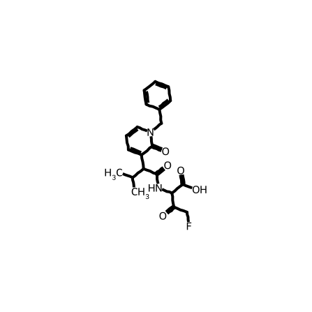 CC(C)C(C(=O)NC(C(=O)O)C(=O)CF)c1cccn(Cc2ccccc2)c1=O